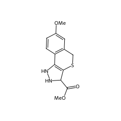 COC(=O)C1NNC2=C1SCc1cc(OC)ccc12